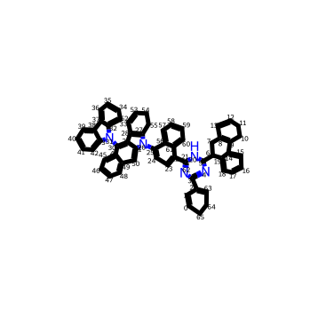 C1=CC(C2=NC(C3CC4=C(CCC=C4)c4ccccc43)NC(c3ccc(-n4c5c(c6c(-n7c8ccccc8c8ccccc87)c7ccccc7cc64)C=CCC5)c4ccccc34)=N2)=CCC1